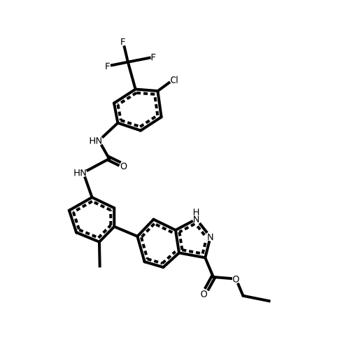 CCOC(=O)c1n[nH]c2cc(-c3cc(NC(=O)Nc4ccc(Cl)c(C(F)(F)F)c4)ccc3C)ccc12